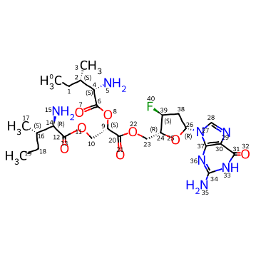 CC[C@H](C)[C@H](N)C(=O)O[C@@H](COC(=O)[C@H](N)[C@@H](C)CC)C(=O)OC[C@H]1O[C@@H](n2cnc3c(=O)[nH]c(N)nc32)C[C@@H]1F